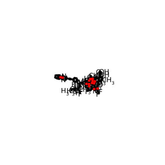 COC(=O)N[C@H](C(=O)N[C@@H](Cc1ccc(C#Cc2cnc(N3CC4CCC(C3)N4C3COC3)nc2)cc1)[C@H](CN(Cc1c(F)cc(-c2ccn(C(F)F)n2)cc1F)NC(=O)[C@@H](NC(=O)OC)C(C)(C)C(F)(F)F)OC(=O)OCOC(=O)CC(C)(C)c1c(CC(=O)N2CCC[C@H]2C(=O)O)cc(C)cc1OP(=O)(O)O)C(C)(C)C(F)(F)F